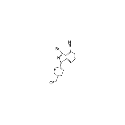 N#Cc1cccc2c1c(Br)nn2-c1ccc(C=O)cc1